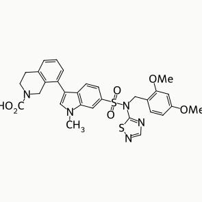 COc1ccc(CN(c2ncns2)S(=O)(=O)c2ccc3c(-c4cccc5c4CN(C(=O)O)CC5)cn(C)c3c2)c(OC)c1